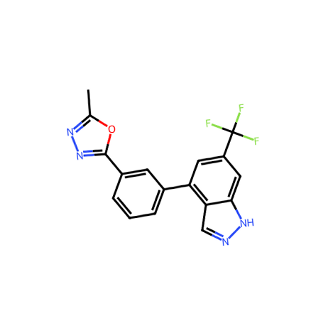 Cc1nnc(-c2cccc(-c3cc(C(F)(F)F)cc4[nH]ncc34)c2)o1